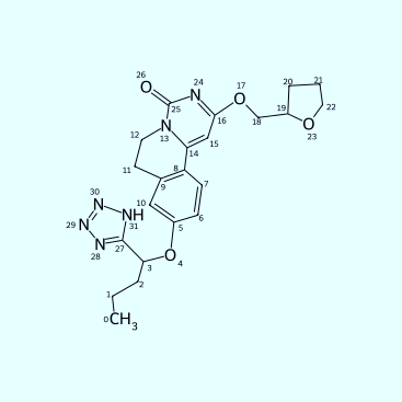 CCCC(Oc1ccc2c(c1)CCn1c-2cc(OCC2CCCO2)nc1=O)c1nnn[nH]1